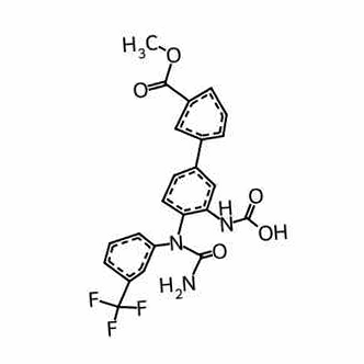 COC(=O)c1cccc(-c2ccc(N(C(N)=O)c3cccc(C(F)(F)F)c3)c(NC(=O)O)c2)c1